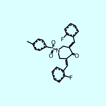 Cc1ccc(S(=O)(=O)N2CC(=Cc3ccccc3F)C(=O)C(=Cc3ccccc3F)C2)cc1